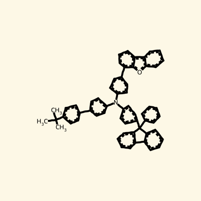 CC(C)(C)c1ccc(-c2ccc(N(c3ccc(-c4cccc5c4oc4ccccc45)cc3)c3ccc(C4(c5ccccc5)c5ccccc5-c5ccccc54)cc3)cc2)cc1